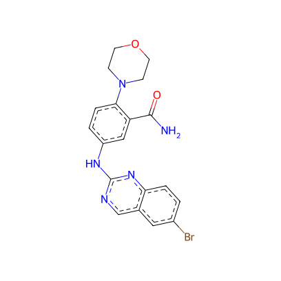 NC(=O)c1cc(Nc2ncc3cc(Br)ccc3n2)ccc1N1CCOCC1